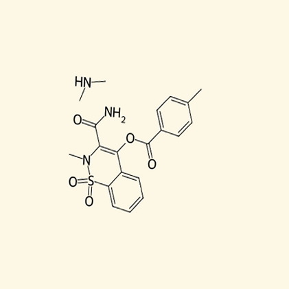 CNC.Cc1ccc(C(=O)OC2=C(C(N)=O)N(C)S(=O)(=O)c3ccccc32)cc1